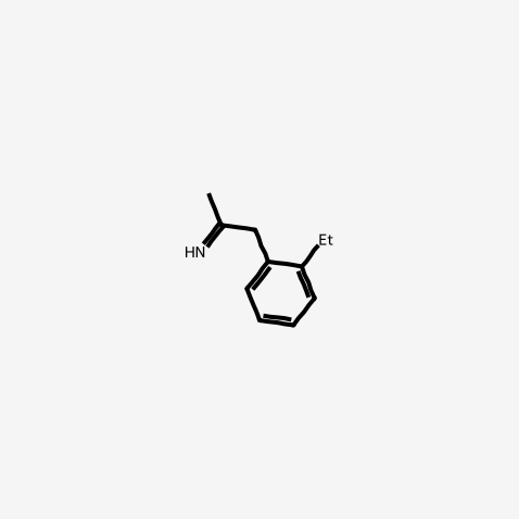 CCc1ccccc1CC(C)=N